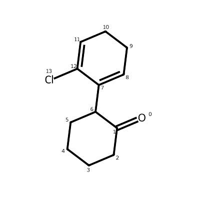 O=C1CCCCC1C1=CCCC=C1Cl